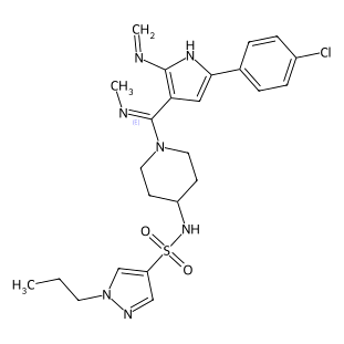 C=Nc1[nH]c(-c2ccc(Cl)cc2)cc1/C(=N\C)N1CCC(NS(=O)(=O)c2cnn(CCC)c2)CC1